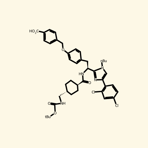 CCCCn1cc(-c2ccc(Cl)cc2Cl)nc1[C@H](Cc1ccc(OCc2ccc(C(=O)O)cc2)cc1)NC(=O)[C@H]1CC[C@H](CNC(=O)OC(C)(C)C)CC1